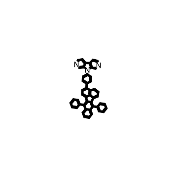 c1ccc(-c2c3c(c(-c4ccccc4)c4ccccc24)-c2ccc(-c4ccc(-n5c6cnccc6c6ccncc65)cc4)c4cccc-3c24)cc1